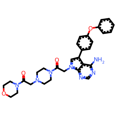 Nc1ncnc2c1c(-c1ccc(Oc3ccccc3)cc1)cn2CC(=O)N1CCN(CC(=O)N2CCOCC2)CC1